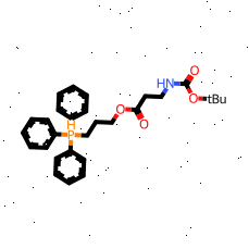 CC(C)(C)OC(=O)NCCC(=O)OCCC[PH](c1ccccc1)(c1ccccc1)c1ccccc1